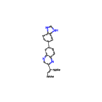 CN/C=C(\NC)c1cnc2cc(-c3ccc4nc[nH]c4c3)ccc2n1